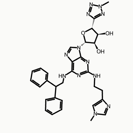 Cn1cnc(CCNc2nc(NCC(c3ccccc3)c3ccccc3)c3ncn([C@@H]4O[C@H](c5nnn(C)n5)[C@@H](O)[C@H]4O)c3n2)c1